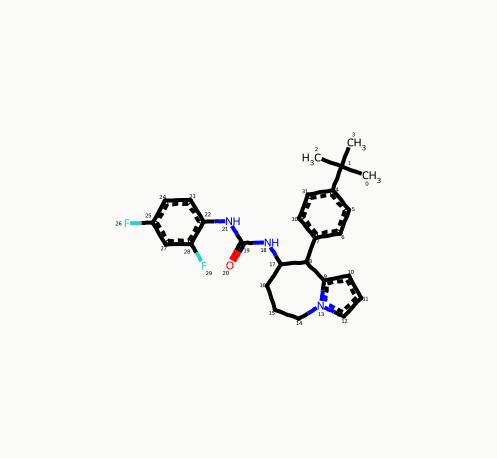 CC(C)(C)c1ccc(C2c3cccn3CCCC2NC(=O)Nc2ccc(F)cc2F)cc1